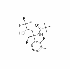 Cc1cccc([C@](CF)(C[C@H](O)C(F)(F)F)N[S@+]([O-])C(C)(C)C)c1F